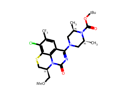 COC[C@H]1CSc2c(Cl)c(C(F)(F)F)cc3c(N4C[C@@H](C)N(C(=O)OC(C)(C)C)[C@H](C)C4)nc(=O)n1c23